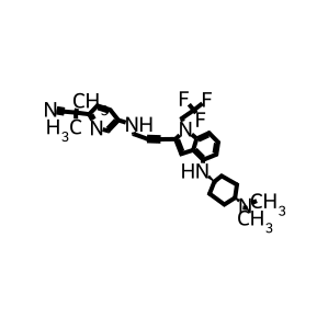 CN(C)[C@H]1CC[C@@H](Nc2cccc3c2cc(C#CCNc2ccc(C(C)(C)C#N)nc2)n3CC(F)(F)F)CC1